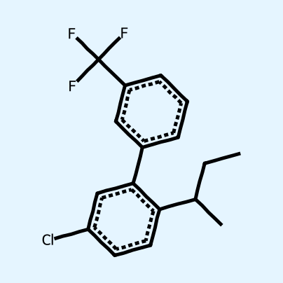 CCC(C)c1ccc(Cl)cc1-c1cccc(C(F)(F)F)c1